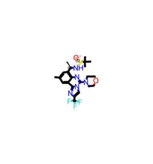 Cc1cc([C@@H](C)N[S@+]([O-])C(C)(C)C)c2nc(N3CCOCC3)n3cc(C(F)(F)F)nc3c2c1